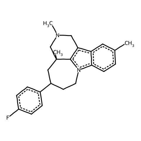 Cc1ccc2c(c1)c1c3n2CCC(c2ccc(F)cc2)CC3(C)CN(C)C1